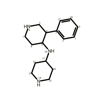 c1ccc(C2CNCCC2NC2CCNCC2)cc1